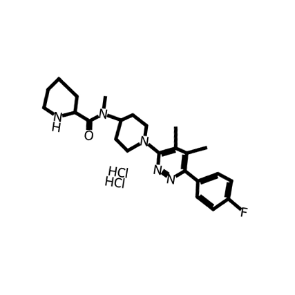 Cc1c(-c2ccc(F)cc2)nnc(N2CCC(N(C)C(=O)C3CCCCN3)CC2)c1C.Cl.Cl